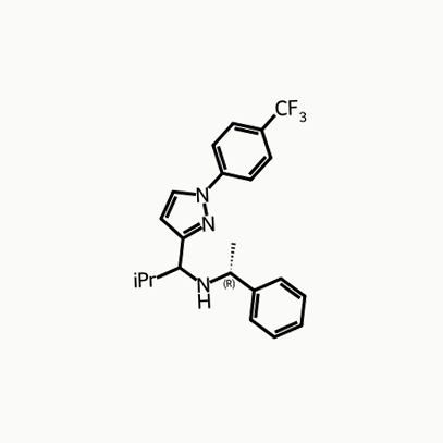 CC(C)C(N[C@H](C)c1ccccc1)c1ccn(-c2ccc(C(F)(F)F)cc2)n1